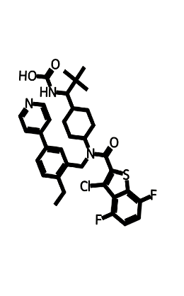 CCc1ccc(-c2ccncc2)cc1CN(C(=O)c1sc2c(F)ccc(F)c2c1Cl)C1CCC(C(NC(=O)O)C(C)(C)C)CC1